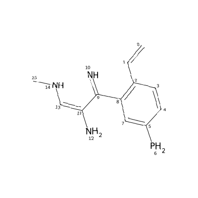 C=Cc1ccc(P)cc1C(=N)/C(N)=C\NC